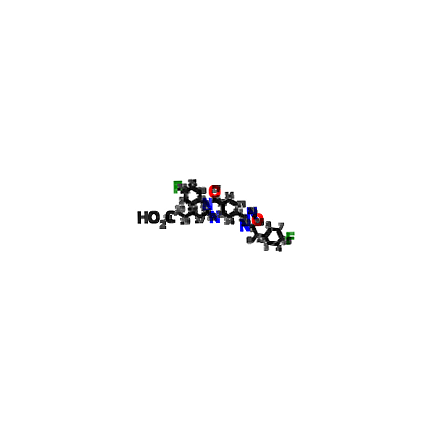 CC(c1ccc(F)cc1)c1nc(-c2ccc3c(=O)n(-c4ccc(F)cc4)c(CCCCC(=O)O)nc3c2)no1